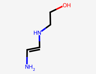 N/C=C/NCCO